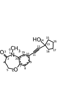 CN1C(=O)CCOc2ccc(C#CC3(O)CCCC3)cc21